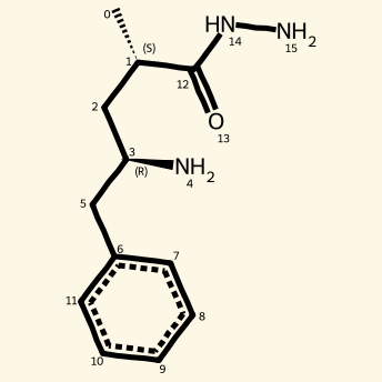 C[C@@H](C[C@@H](N)Cc1ccccc1)C(=O)NN